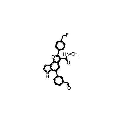 CNC(=O)c1c(-c2ccc(CF)cc2)oc2c1cc(-c1cccc(C=O)c1)c1[nH]ccc12